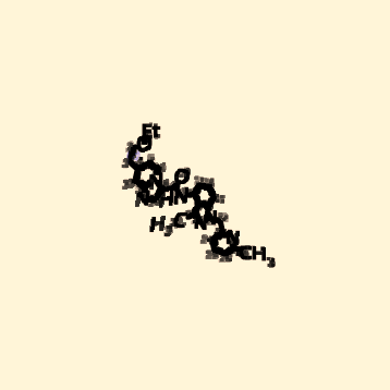 CCO/C=C\c1ccn2c(C(=O)Nc3cccc4c3c(C)nn4Cc3cccc(C)n3)cnc2c1